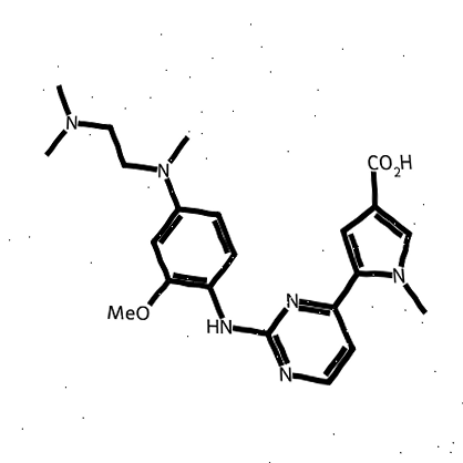 COc1cc(N(C)CCN(C)C)ccc1Nc1nccc(-c2cc(C(=O)O)cn2C)n1